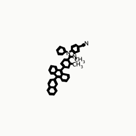 CC1CC(c2c3ccccc3c(-c3ccc4ccccc4c3)c3ccccc23)=CC=C1C1N(C)c2cc(C#N)ccc2N1c1ccccc1